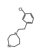 Clc1cccc(CCN2CCC[N]CC2)c1